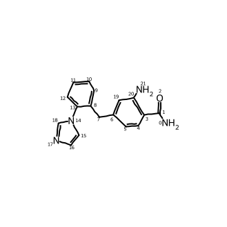 NC(=O)c1ccc(Cc2ccccc2-n2ccnc2)cc1N